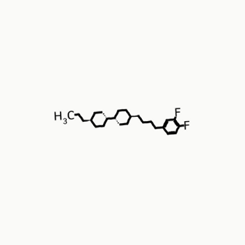 CCC[C@H]1CC[C@H]([C@H]2CC[C@H](CCCCc3ccc(F)c(F)c3)CC2)CC1